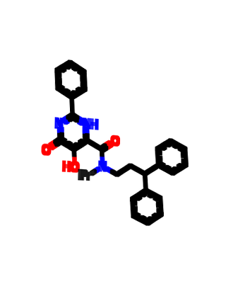 CC(C)N(CCC(c1ccccc1)c1ccccc1)C(=O)c1[nH]c(-c2ccccc2)nc(=O)c1O